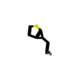 C=C[C]1c2ccsc21